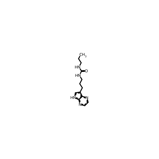 CCCNC(=O)NCCCc1c[nH]c2nccnc12